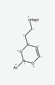 CCCCCCCCCC1C=CON(C(C)=O)O1